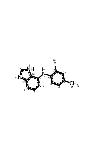 Cc1ccc(Nc2ncnc3nc[nH]c23)c(F)c1